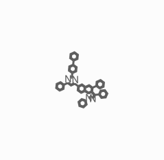 c1ccc(-c2ccc(-c3nc(-c4ccccc4)cc(-c4ccc5c(c4)cc(-c4ccccc4)c4c(-c6ccccc6)nn(-c6ccccc6)c45)n3)cc2)cc1